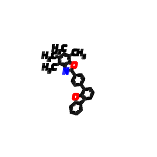 Cc1c(C)c(C)c2oc(-c3ccc(-c4cccc5c4oc4ccccc45)cc3)nc2c1C